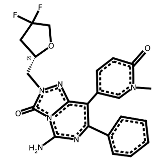 Cn1cc(-c2c(-c3ccccc3)nc(N)n3c(=O)n(C[C@@H]4CC(F)(F)CO4)nc23)ccc1=O